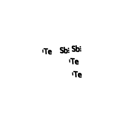 [Sb].[Sb].[Te].[Te].[Te]